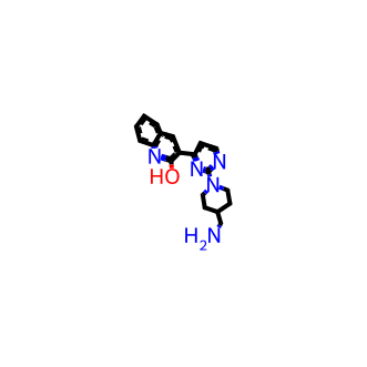 NCC1CCN(c2nccc(-c3cc4ccccc4nc3O)n2)CC1